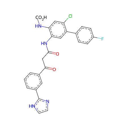 O=C(O)Nc1cc(Cl)c(-c2ccc(F)cc2)cc1NC(=O)CC(=O)c1cccc(-c2ncc[nH]2)c1